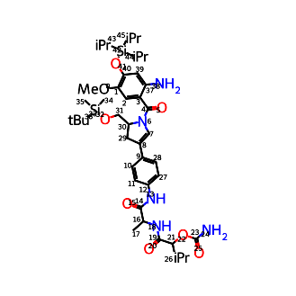 COc1cc(C(=O)N2C=C(c3ccc(NC(=O)C(C)NC(=O)C(OC(N)=O)C(C)C)cc3)CC2CO[Si](C)(C)C(C)(C)C)c(N)cc1O[Si](C(C)C)(C(C)C)C(C)C